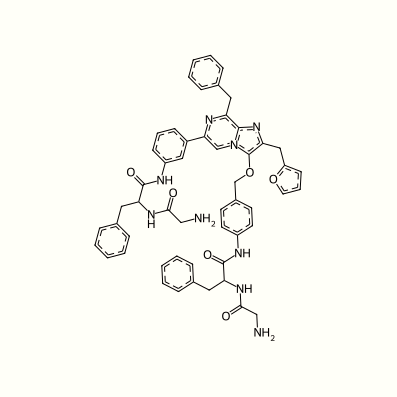 NCC(=O)NC(Cc1ccccc1)C(=O)Nc1ccc(COc2c(Cc3ccco3)nc3c(Cc4ccccc4)nc(-c4cccc(NC(=O)C(Cc5ccccc5)NC(=O)CN)c4)cn23)cc1